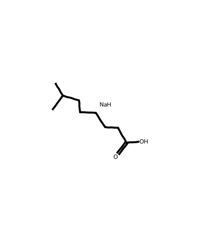 CC(C)CCCCCC(=O)O.[NaH]